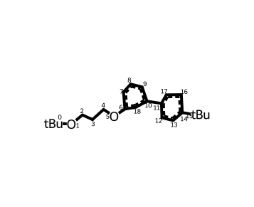 CC(C)(C)OCCCOc1cccc(-c2ccc(C(C)(C)C)cc2)c1